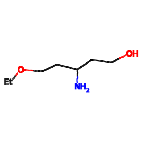 CCOCCC(N)CCO